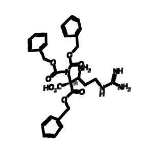 N=C(N)NCCC(N)[C@](C(=O)O)(C(=O)OCc1ccccc1)N(C(=O)OCc1ccccc1)C(=O)OCc1ccccc1